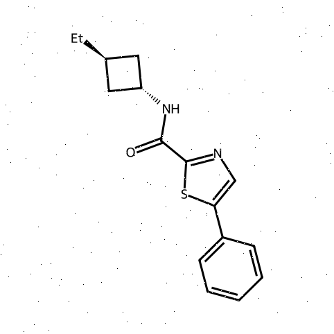 CC[C@H]1C[C@H](NC(=O)c2ncc(-c3ccccc3)s2)C1